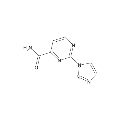 NC(=O)c1ccnc(-n2ccnn2)n1